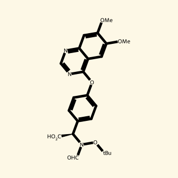 COc1cc2ncnc(Oc3ccc([C@H](C(=O)O)N(C=O)OC(C)(C)C)cc3)c2cc1OC